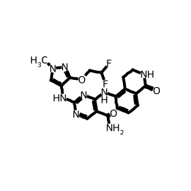 Cn1cc(Nc2ncc(C(N)=O)c(Nc3cccc4c3CCNC4=O)n2)c(OCC(F)F)n1